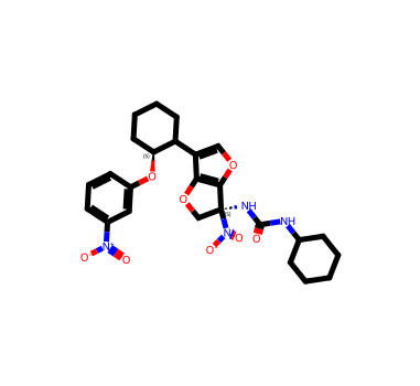 O=C(NC1CCCCC1)N[C@]1([N+](=O)[O-])COc2c(C3CCCC[C@@H]3Oc3cccc([N+](=O)[O-])c3)coc21